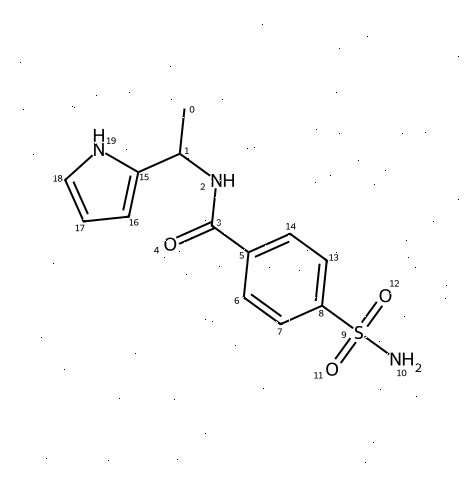 CC(NC(=O)c1ccc(S(N)(=O)=O)cc1)c1ccc[nH]1